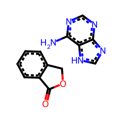 Nc1ncnc2nc[nH]c12.O=C1OCc2ccccc21